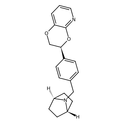 c1cnc2c(c1)OC[C@H](c1ccc(CN3[C@H]4CC[C@H]3CC4)cc1)O2